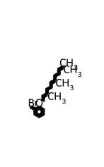 CC(C)=CCC/C(C)=C/CC/C(C)=C/COc1ccccc1CBr